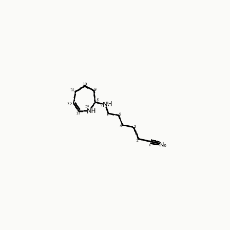 N#CCCCCCNC1CCCC=CN1